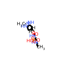 CCCNC(=O)C(CNC(=O)OC[C@@H]1[C@@H]2CC/C(N=N)=C(/NCC)CC[C@@H]21)S(=O)(=O)O